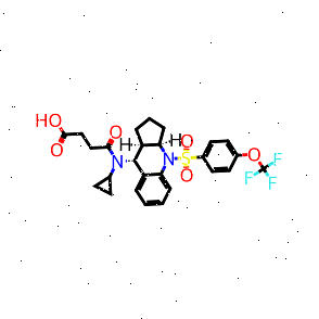 O=C(O)CCC(=O)N(C1CC1)[C@H]1c2ccccc2N(S(=O)(=O)c2ccc(OC(F)(F)F)cc2)[C@@H]2CCC[C@@H]21